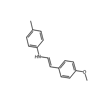 COc1ccc(C=CNc2ccc(C)cc2)cc1